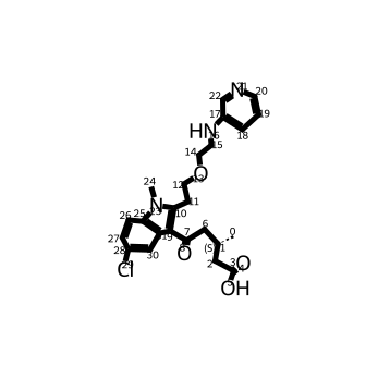 C[C@H](CC(=O)O)CC(=O)c1c(CCOCCNc2cccnc2)n(C)c2ccc(Cl)cc12